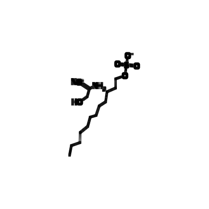 CCCCCCCCCCCCOS(=O)(=O)[O-].NC(=O)CO.[Na+]